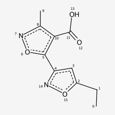 CCc1cc(-c2onc(C)c2C(=O)O)no1